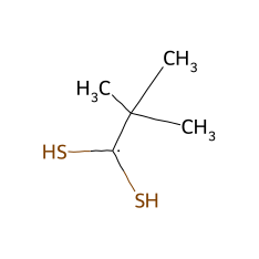 CC(C)(C)[C](S)S